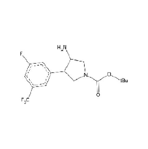 CC(C)(C)OC(=O)N1CC(N)C(c2cc(F)cc(C(F)(F)F)c2)C1